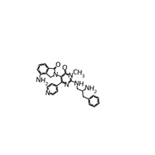 Cn1c(NC[C@@H](N)Cc2ccccc2)nc(-c2ccncc2)c(N2Cc3c(N)cccc3C2=O)c1=O